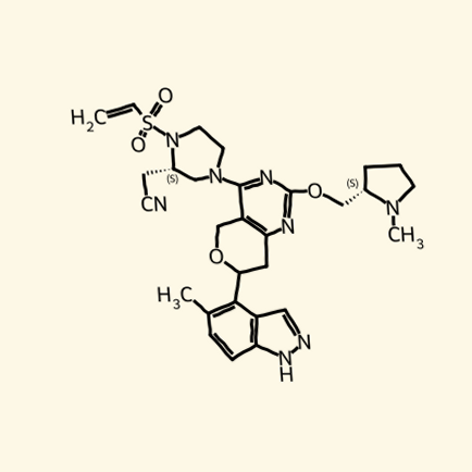 C=CS(=O)(=O)N1CCN(c2nc(OC[C@@H]3CCCN3C)nc3c2COC(c2c(C)ccc4[nH]ncc24)C3)C[C@@H]1CC#N